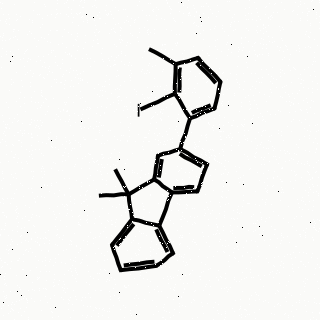 Cc1cccc(-c2ccc3c(c2)C(C)(C)c2ccccc2-3)c1I